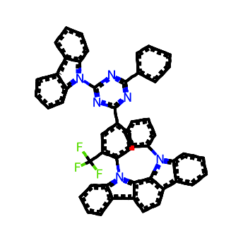 FC(F)(F)c1cc(-c2nc(-c3ccccc3)nc(-n3c4ccccc4c4ccccc43)n2)ccc1-n1c2ccccc2c2ccc3c4ccccc4n(-c4ccccc4)c3c21